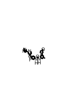 Cc1cc(NC(=O)Nc2ccc(Oc3ccnc(-c4cnn(C)c4)c3)c(F)c2)cc(N2CCC(=O)C2)c1